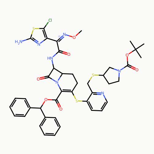 CO/N=C(\C(=O)NC1C(=O)N2C(C(=O)OC(c3ccccc3)c3ccccc3)=C(Sc3cccnc3CSC3CCN(C(=O)OC(C)(C)C)C3)CCC12)c1nc(N)sc1Cl